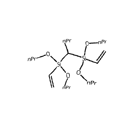 C=C[Si](OCCC)(OCCC)C(CCC)[Si](C=C)(OCCC)OCCC